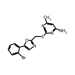 Cc1cc(N)nc(SCc2ncc(-c3ccccc3Br)o2)n1